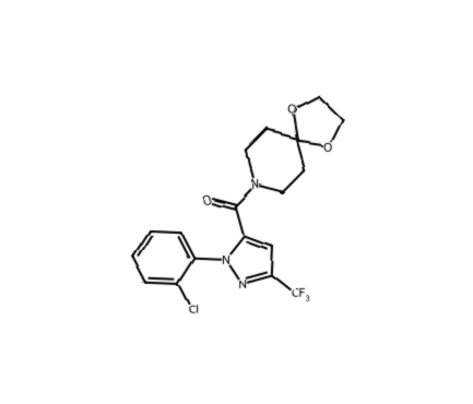 O=C(c1cc(C(F)(F)F)nn1-c1ccccc1Cl)N1CCC2(CC1)OCCO2